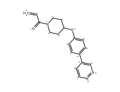 C=CC(=O)N1CCC(Oc2ccc(-c3ccnnc3)cc2)CC1